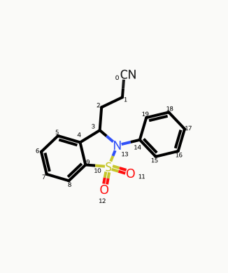 N#CCCC1c2ccccc2S(=O)(=O)N1c1ccccc1